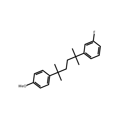 COc1ccc(C(C)(C)CCC(C)(C)c2cccc(F)c2)cc1